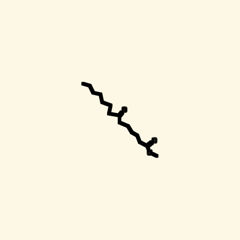 CCCCCCCC(=O)CCCCCC(=O)OC